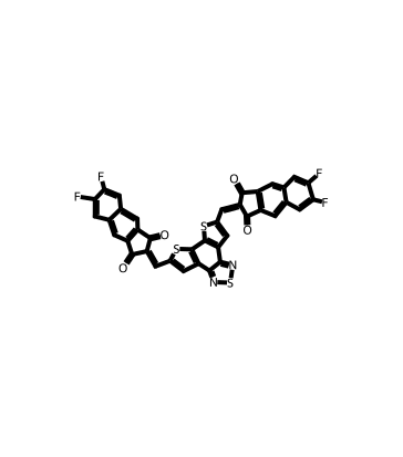 O=C1C(=Cc2cc3c4nsnc4c4cc(C=C5C(=O)c6cc7cc(F)c(F)cc7cc6C5=O)sc4c3s2)C(=O)c2cc3cc(F)c(F)cc3cc21